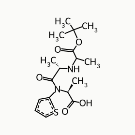 CC(N[C@@H](C)C(=O)N(c1cccs1)[C@@H](C)C(=O)O)C(=O)OC(C)(C)C